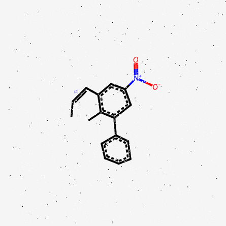 C/C=C\c1cc([N+](=O)[O-])cc(-c2ccccc2)c1C